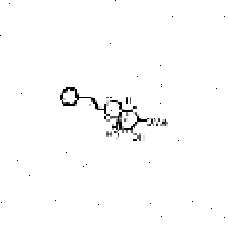 COC1O[C@@H]2COC(/C=C/c3ccccc3)O[C@H]2[C@H](O)[C@H]1O